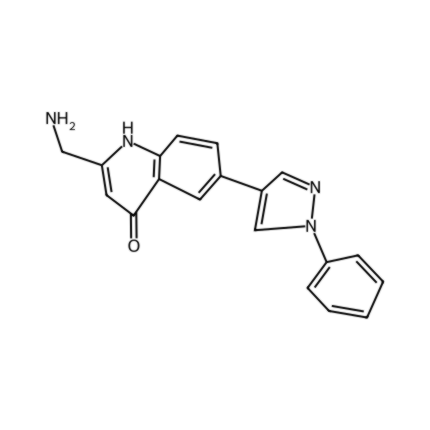 NCc1cc(=O)c2cc(-c3cnn(-c4ccccc4)c3)ccc2[nH]1